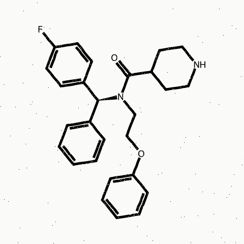 O=C(C1CCNCC1)N(CCOc1ccccc1)[C@@H](c1ccccc1)c1ccc(F)cc1